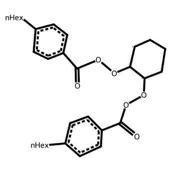 CCCCCCc1ccc(C(=O)OO[C]2CCC[CH]C2OOC(=O)c2ccc(CCCCCC)cc2)cc1